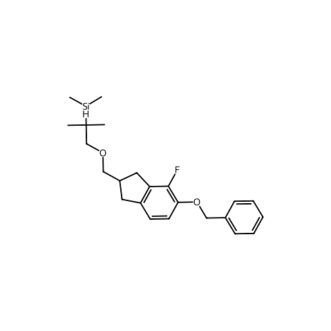 C[SiH](C)C(C)(C)COCC1Cc2ccc(OCc3ccccc3)c(F)c2C1